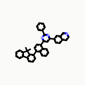 CC1(C)c2ccccc2-c2cccc(-c3ccc(-c4cc(-c5ccc6ccncc6c5)nc(-c5ccccc5)n4)c4ccccc34)c21